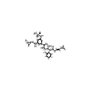 CC(C)S(=O)(=O)N(C)c1cc(C(=O)N[C@@H](Cc2ccccc2)[C@H](O)CNCC#CC2CC2)cc(NC[C@H]2C[C@@H]2F)n1